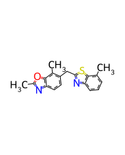 Cc1nc2ccc(Cc3nc4cccc(C)c4s3)c(C)c2o1